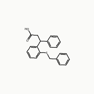 O=C(O)CC(c1ccccc1)c1ccccc1SCc1ccccc1